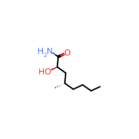 CCCC[C@H](C)C[C@@H](O)C(N)=O